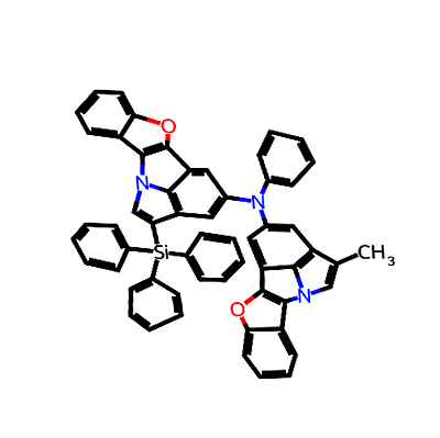 Cc1cn2c3c1cc(N(c1ccccc1)c1cc4c([Si](c5ccccc5)(c5ccccc5)c5ccccc5)cn5c4c(c1)c1oc4ccccc4c15)cc3c1oc3ccccc3c12